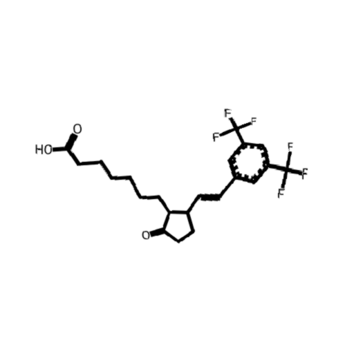 O=C(O)CCCCCCC1C(=O)CCC1C=Cc1cc(C(F)(F)F)cc(C(F)(F)F)c1